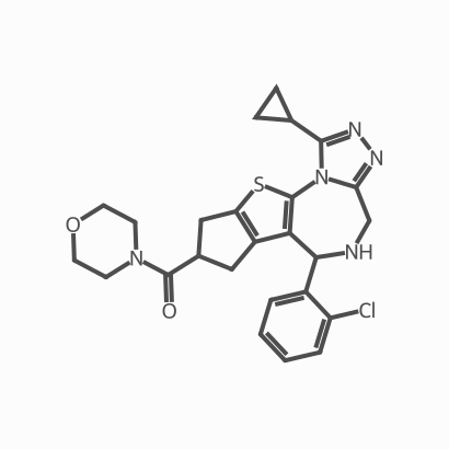 O=C(C1Cc2sc3c(c2C1)C(c1ccccc1Cl)NCc1nnc(C2CC2)n1-3)N1CCOCC1